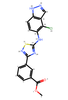 COC(=O)c1cccc(-c2nsc(Nc3ccc4[nH]ncc4c3Cl)n2)c1